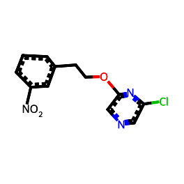 O=[N+]([O-])c1cccc(CCOc2cncc(Cl)n2)c1